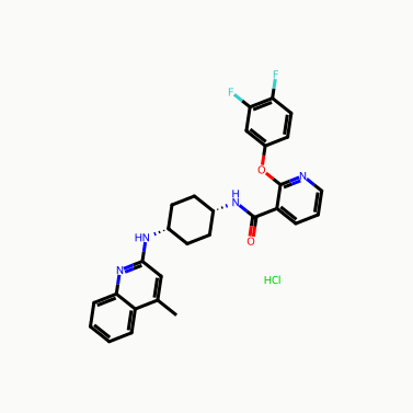 Cc1cc(N[C@H]2CC[C@@H](NC(=O)c3cccnc3Oc3ccc(F)c(F)c3)CC2)nc2ccccc12.Cl